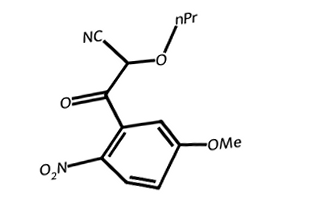 CCCOC(C#N)C(=O)c1cc(OC)ccc1[N+](=O)[O-]